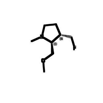 COC[C@@H]1[C@@H](CF)CCN1C